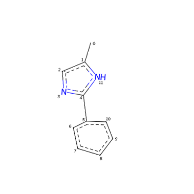 Cc1[c]nc(-c2ccccc2)[nH]1